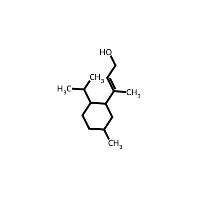 CC(=CCO)C1CC(C)CCC1C(C)C